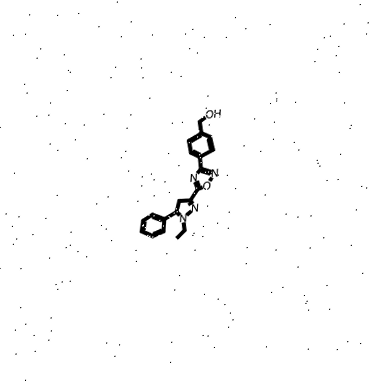 CCN1N=C(c2nc(-c3ccc(CO)cc3)no2)CC1c1ccccc1